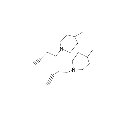 C#CCCN1CCC(C)CC1.C#CCCN1CCC(C)CC1